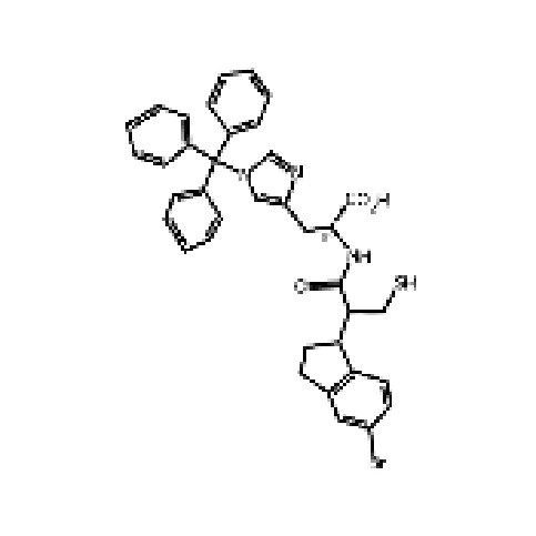 O=C(N[C@@H](Cc1cn(C(c2ccccc2)(c2ccccc2)c2ccccc2)cn1)C(=O)O)C(CS)C1CCc2cc(Br)ccc21